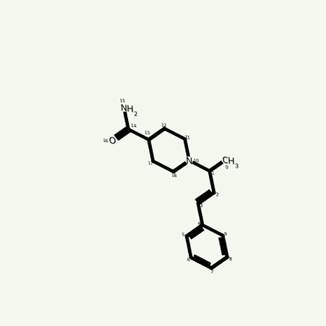 CC(C=Cc1ccccc1)N1CCC(C(N)=O)CC1